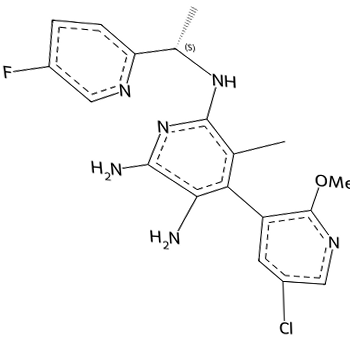 COc1ncc(Cl)cc1-c1c(C)c(N[C@@H](C)c2ccc(F)cn2)nc(N)c1N